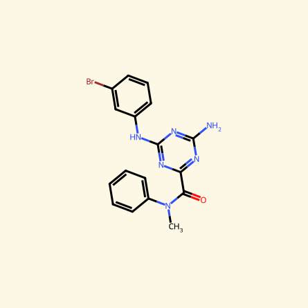 CN(C(=O)c1nc(N)nc(Nc2cccc(Br)c2)n1)c1ccccc1